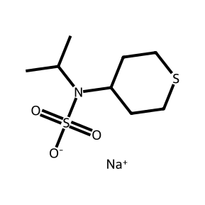 CC(C)N(C1CCSCC1)S(=O)(=O)[O-].[Na+]